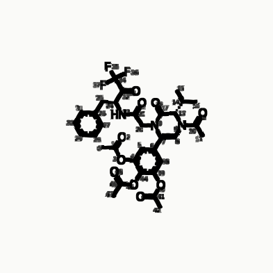 CC(=O)Oc1cc(C2=CN(C(C)=O)[C@@H](C(C)C)C(=O)N2CC(=O)N[C@@H](Cc2ccccc2)C(=O)C(F)(F)F)cc(OC(C)=O)c1OC(C)=O